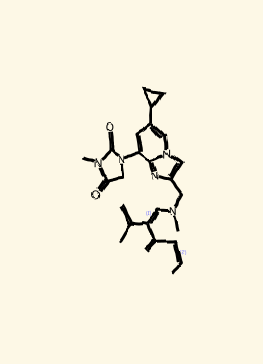 C=C(C)/C(=C/N(C)Cc1cn2cc(C3CC3)cc(N3CC(=O)N(C)C3=O)c2n1)C(=C)/C=C\C